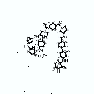 CCOC(=O)c1cnc(Nc2cnn(C)c2)nc1NC1CCC(N2CCN(C(=O)C3CCC(C(=O)N4CC[C@H](CCN5CCN(c6ccc(NC7CCC(=O)NC7=O)cc6F)CC5)C4)CC3)CC2)CC1